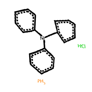 Cl.P.c1cc[c]([Ni]([c]2ccccc2)[c]2ccccc2)cc1